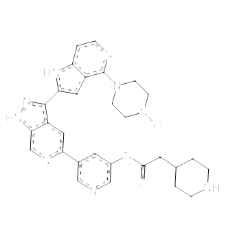 CN1CCN(c2nccc3[nH]c(-c4n[nH]c5cnc(-c6cncc(NC(=O)CC7CCNCC7)c6)cc45)cc23)CC1